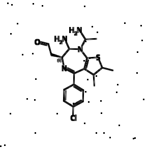 CC1SC2=C(C(c3ccc(Cl)cc3)=N[C@@H](CC=O)C(N)N2C(C)N)C1C